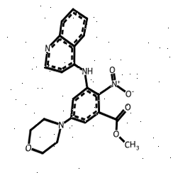 COC(=O)c1cc(N2CCOCC2)cc(Nc2ccnc3ccccc23)c1[N+](=O)[O-]